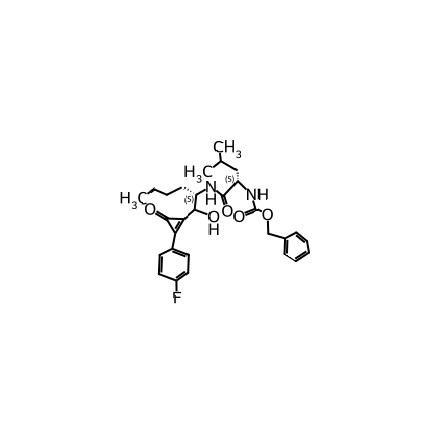 CCCC[C@H](NC(=O)[C@H](CC(C)C)NC(=O)OCc1ccccc1)C(O)c1c(-c2ccc(F)cc2)c1=O